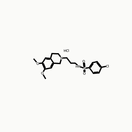 COc1cc2c(cc1OC)CN(CCCNS(=O)(=O)c1ccc(Cl)cc1)CC2.Cl